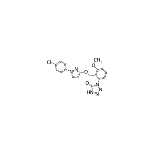 COc1cccc(-n2nn[nH]c2=O)c1COc1ccn(-c2ccc(Cl)cc2)n1